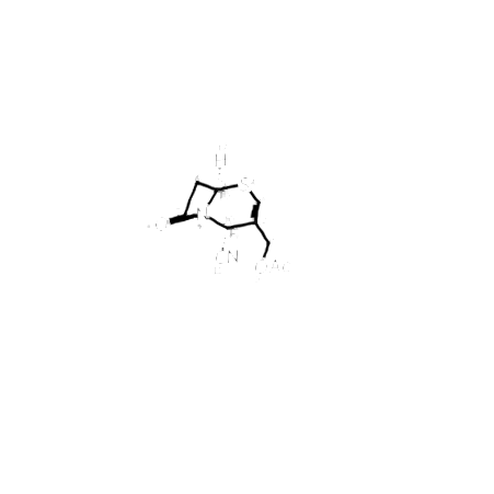 CC(=O)OCC1=CS[C@@H]2CC(=O)N2[C@H]1C#N